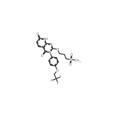 CS(=O)(=O)CCCOc1nc2[nH]c(=O)ccc2c(=O)n1-c1ccc(OCC(F)(F)F)cc1